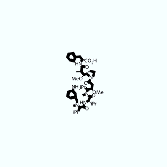 CO[C@H]([C@@H](C)C(=O)N[C@@H](Cc1ccccc1)C(=O)O)[C@@H]1CCCN1C(=O)C[C@@H](OC)C(C(C)C)N(C)C(=O)[C@@H](NC(=O)C(C(C)C)N(C)Cc1cccc(N)c1)C(C)C